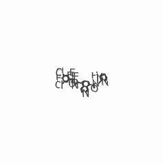 O=C(NCc1ncccn1)c1ccc(C2=NO[C@@](c3cc(Cl)c(F)c(Cl)c3)(C(F)(F)F)C2)c2ccncc12